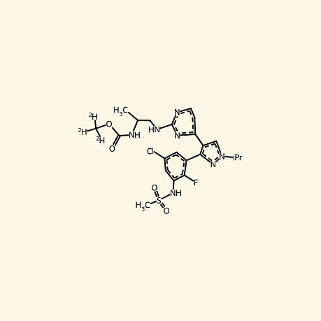 [2H]C([2H])([2H])OC(=O)NC(C)CNc1nccc(-c2cn(C(C)C)nc2-c2cc(Cl)cc(NS(C)(=O)=O)c2F)n1